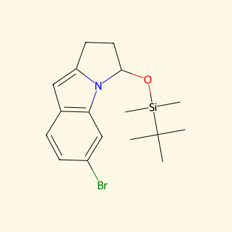 CC(C)(C)[Si](C)(C)OC1CCc2cc3ccc(Br)cc3n21